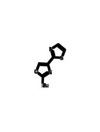 CCC(C)c1nc(-c2nccs2)co1